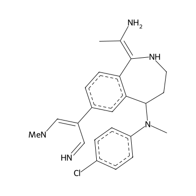 CN/C=C(\C=N)c1ccc2c(c1)C(N(C)c1ccc(Cl)cc1)CCN/C2=C(/C)N